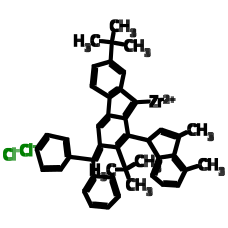 CC1=CC(c2c(C(C)(C)C)c(=C(c3ccccc3)c3ccccc3)cc3c2=[C]([Zr+2])c2cc(C(C)(C)C)ccc2-3)c2cccc(C)c21.[Cl-].[Cl-]